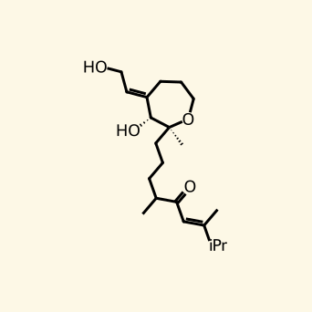 C/C(=C\C(=O)C(C)CCC[C@]1(C)OCCCC(=CCO)[C@H]1O)C(C)C